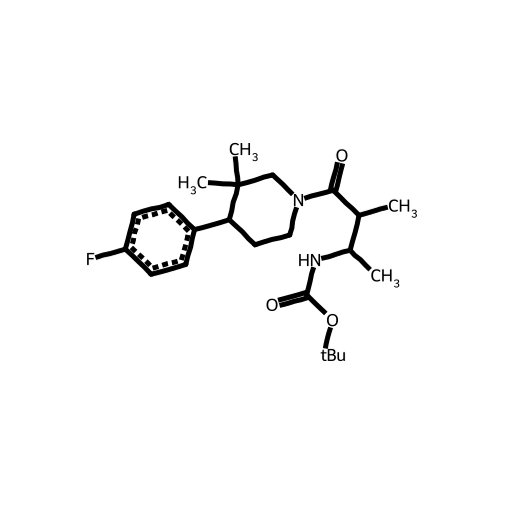 CC(NC(=O)OC(C)(C)C)C(C)C(=O)N1CCC(c2ccc(F)cc2)C(C)(C)C1